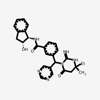 CCC1(C)CC(=O)N(C(c2cncnc2)c2cccc(C(=O)N[C@@H]3c4ccccc4C[C@H]3O)c2)C(=N)N1